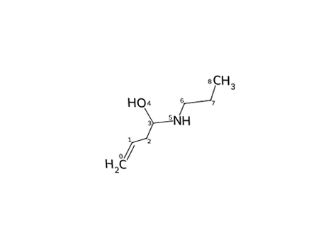 C=CCC(O)NCCC